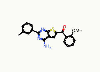 COc1ccccc1C(=O)c1cc2c(N)nc(-c3cccc(C)c3)nc2s1